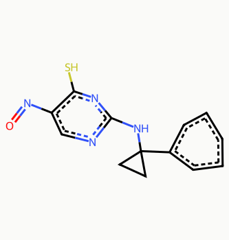 O=Nc1cnc(NC2(c3ccccc3)CC2)nc1S